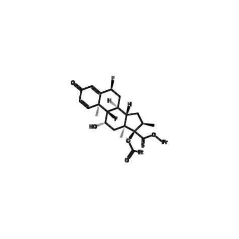 CCC(=O)O[C@]1(C(=S)OC(C)C)[C@H](C)C[C@H]2[C@@H]3C[C@H](F)C4=CC(=O)C=C[C@]4(C)[C@@]3(F)[C@@H](O)C[C@@]21C